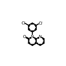 O=c1[c]cc2cccnc2n1-c1cc(Cl)cc(Cl)c1